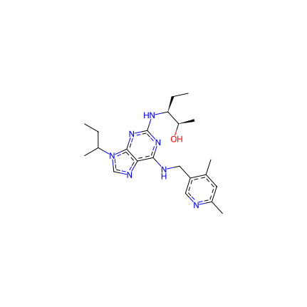 CCC(C)n1cnc2c(NCc3cnc(C)cc3C)nc(N[C@@H](CC)[C@@H](C)O)nc21